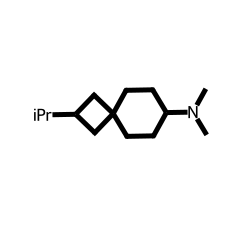 CC(C)C1CC2(CCC(N(C)C)CC2)C1